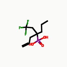 C=CCC(CCC)(CC(F)(F)F)P(=O)(O)O